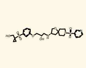 O=S(=O)(c1cccnc1)N1CCC2(CC1)C[C@@H](NC[C@H](O)COc1cccc(S(=O)(=O)C3(CO)CC3)c1)CO2